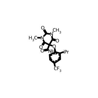 CC(C)c1cc(C(F)(F)F)ccc1OC1(C(N)=O)C(=O)N(C)C(=O)N(C)C1=O